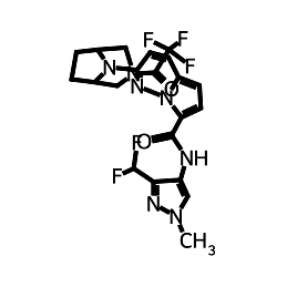 Cn1cc(NC(=O)c2ccc3ccc(N4C5CCC4CN(C(=O)C(F)(F)F)C5)nn23)c(C(F)F)n1